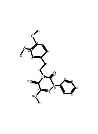 COc1ccc(CCn2c(=O)c(OC)nn(-c3ccccc3)c2=O)cc1OC